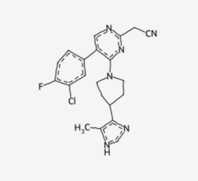 Cc1[nH]cnc1C1CCN(c2nc(CC#N)ncc2-c2ccc(F)c(Cl)c2)CC1